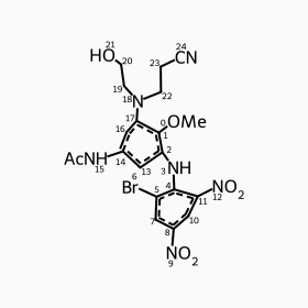 COc1c(Nc2c(Br)cc([N+](=O)[O-])cc2[N+](=O)[O-])cc(NC(C)=O)cc1N(CCO)CCC#N